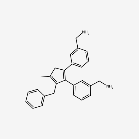 CC1=C(Cc2ccccc2)C(c2cccc(CN)c2)=C(c2cccc(CN)c2)C1